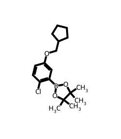 CC1(C)OB(c2cc(OCC3CCCC3)ccc2Cl)OC1(C)C